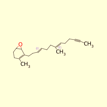 CC#CCC/C=C(\C)CC/C=C/CCC1=C(C)CCC2OC12